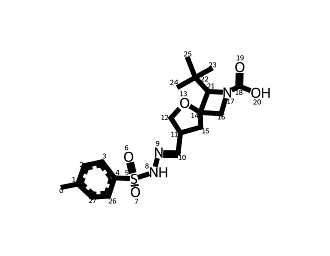 Cc1ccc(S(=O)(=O)N/N=C/C2COC3(C2)CN(C(=O)O)C3C(C)(C)C)cc1